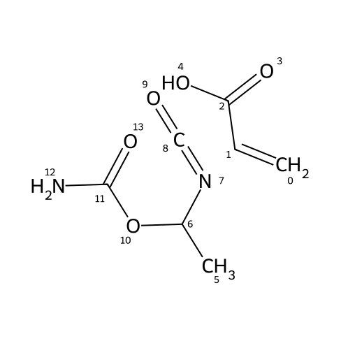 C=CC(=O)O.CC(N=C=O)OC(N)=O